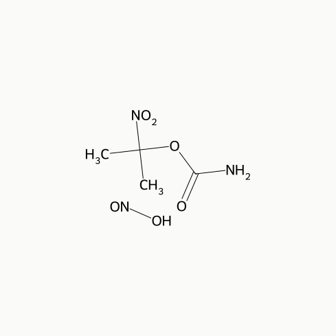 CC(C)(OC(N)=O)[N+](=O)[O-].O=NO